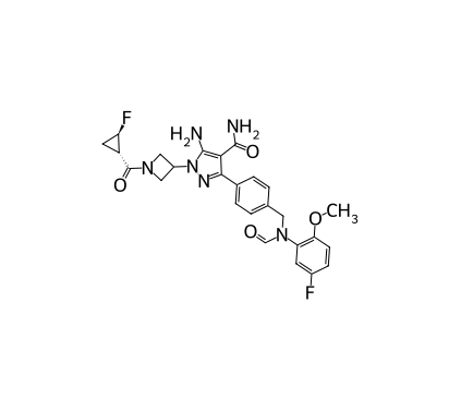 COc1ccc(F)cc1N(C=O)Cc1ccc(-c2nn(C3CN(C(=O)[C@@H]4C[C@H]4F)C3)c(N)c2C(N)=O)cc1